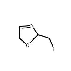 ICC1N=CCO1